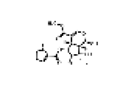 COC(=O)C1=COC(O)[C@H]2[C@@H]1[C@H](OC(=O)c1ccc[nH]1)[C@H](O)[C@]2(C)O